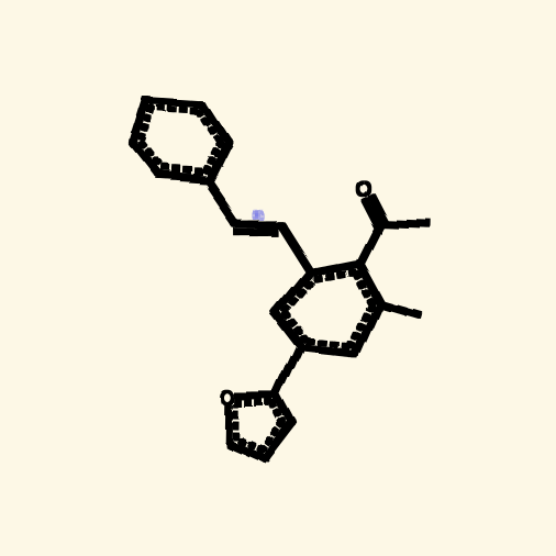 CC(=O)c1c(C)cc(-c2ccco2)cc1/C=C/c1ccccc1